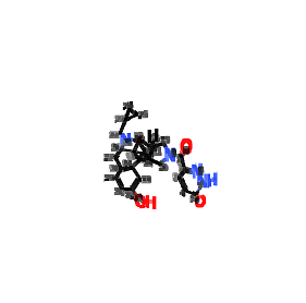 O=C(c1ccc(=O)[nH]n1)N1C[C@H]2CC34CCC1C2C31CCN(CC2CC2)C4Cc2ccc(O)cc21